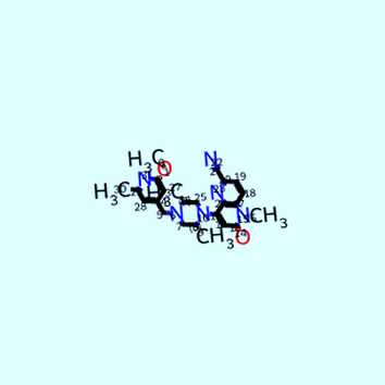 COc1cc(CN2C[C@H](C)N(c3cc(=O)n(C)c4ccc(C#N)nc34)C[C@H]2C)cc(C)n1